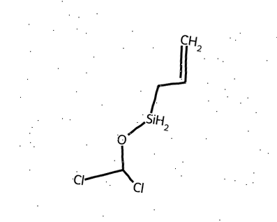 C=CC[SiH2]OC(Cl)Cl